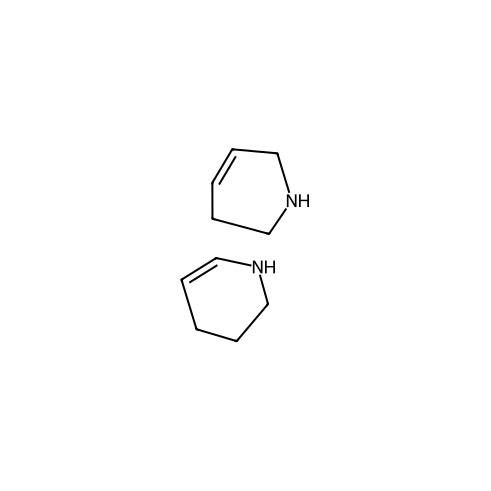 C1=CCNCC1.C1=CNCCC1